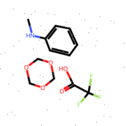 C1OCOCO1.CNc1ccccc1.O=C(O)C(F)(F)F